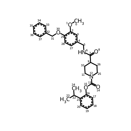 COc1cc(CNC(=O)C2CCN(C(=O)Oc3ccccc3C(C)C)CC2)ccc1OCc1ccccc1